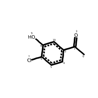 CC(=O)c1ccc(Cl)c(O)c1